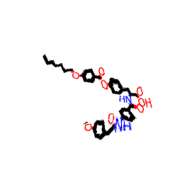 CCCCCCCOc1ccc(C(=O)Oc2ccc(CC(NC(=O)c3ccc(NC(=O)Cc4ccc(OC)cc4)cc3)C(=O)O)cc2)cc1